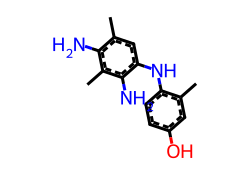 Cc1cc(O)ccc1Nc1cc(C)c(N)c(C)c1N